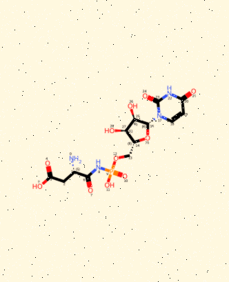 N[C@@H](CC(=O)O)C(=O)NP(=O)(O)OC[C@H]1O[C@@H](n2ccc(=O)[nH]c2=O)[C@H](O)[C@@H]1O